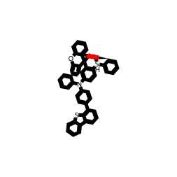 c1ccc(N(c2ccc(-c3cccc4c3sc3ccccc34)cc2)c2ccc3c(c2)C2(c4ccccc4Oc4ccccc42)c2ccccc2[SiH]3c2ccccc2)cc1